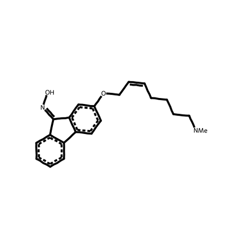 CNCCCC/C=C\COc1ccc2c(c1)/C(=N\O)c1ccccc1-2